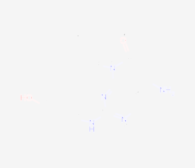 Nc1cc(=O)n(C2CCCCC2)c2nc(NC3CCC(O)CC3)ncc12